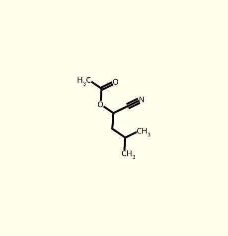 CC(=O)OC(C#N)CC(C)C